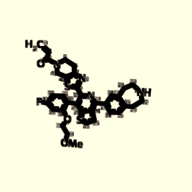 C=CC(=O)N1CCc2nc(-c3nc(-c4ccc5c(c4)CCNCC5)c4ccsc4c3-c3ccc(F)cc3OCCOC)sc2C1